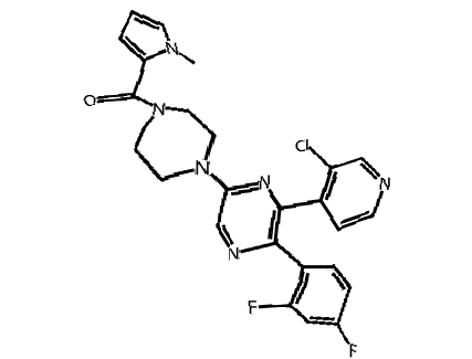 Cn1cccc1C(=O)N1CCN(c2cnc(-c3ccc(F)cc3F)c(-c3ccncc3Cl)n2)CC1